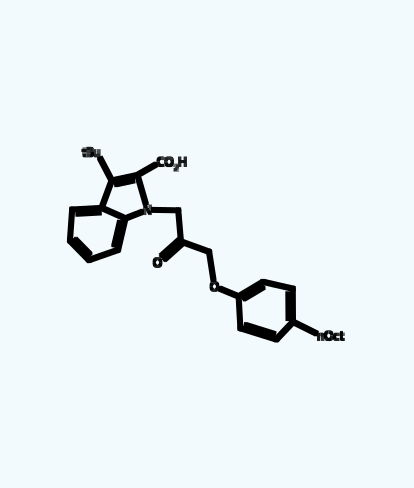 CCCCCCCCc1ccc(OCC(=O)Cn2c(C(=O)O)c(C(C)(C)C)c3ccccc32)cc1